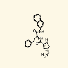 NC[C@H]1CN[C@H](C(=O)N[C@H](CCc2ccccc2)C(=O)Nc2ccc3ncccc3c2)C1